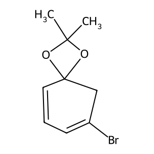 CC1(C)OC2(C=CC=C(Br)C2)O1